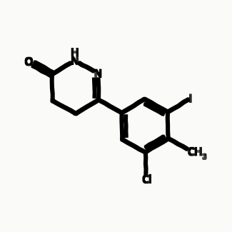 Cc1c(Cl)cc(C2=NNC(=O)CC2)cc1I